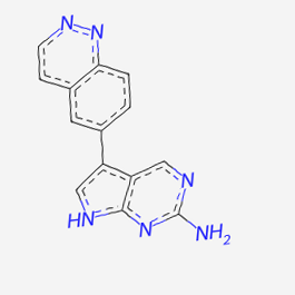 Nc1ncc2c(-c3ccc4nnccc4c3)c[nH]c2n1